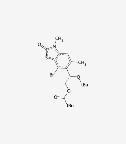 Cc1cc2c(sc(=O)n2C)c(Br)c1[C@@H](COC(=O)C(C)(C)C)OC(C)(C)C